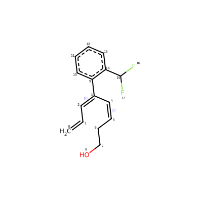 C=C/C=C(\C=C/CCO)c1ccccc1C(F)F